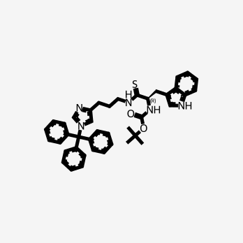 CC(C)(C)OC(=O)N[C@H](Cc1c[nH]c2ccccc12)C(=S)NCCCc1cn(C(c2ccccc2)(c2ccccc2)c2ccccc2)cn1